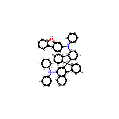 c1ccc(N(c2ccc3c(c2)oc2ccccc23)c2cccc3c2-c2ccccc2C32c3ccccc3-c3c2cc(N(c2ccccc2)c2ccccc2)c2ccccc32)cc1